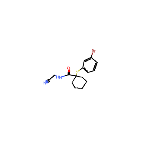 N#CCNC(=O)C1(Sc2cccc(Br)c2)CCCCC1